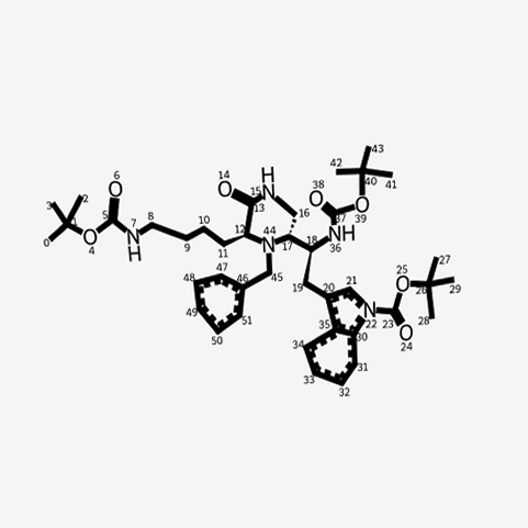 CC(C)(C)OC(=O)NCCCC[C@H]1C(=O)NC[C@H]([C@H](Cc2cn(C(=O)OC(C)(C)C)c3ccccc23)NC(=O)OC(C)(C)C)N1Cc1ccccc1